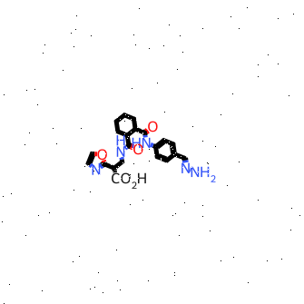 NN=Cc1ccc(NC(=O)C2CCCCC2C(=O)NCC(C(=O)O)c2ncco2)cc1